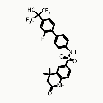 CC1(C)CC(=O)Nc2ccc(S(=O)(=O)Nc3ccc(-c4ccc(C(O)(C(F)(F)F)C(F)(F)F)cc4F)cc3)cc21